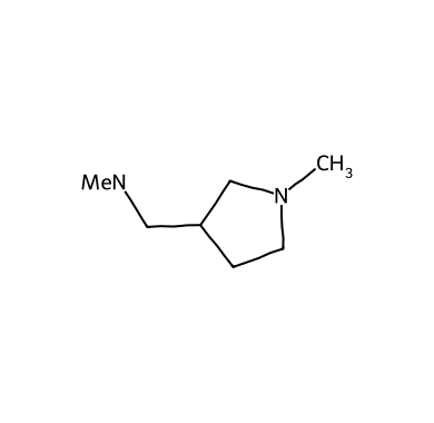 CNCC1CCN(C)C1